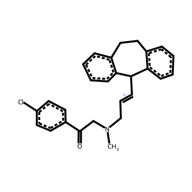 CN(C/C=C/C1c2ccccc2CCc2ccccc21)CC(=O)c1ccc(Cl)cc1